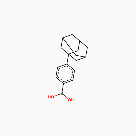 OB(O)c1ccc(C23CC4CC(CC(C4)C2)C3)cc1